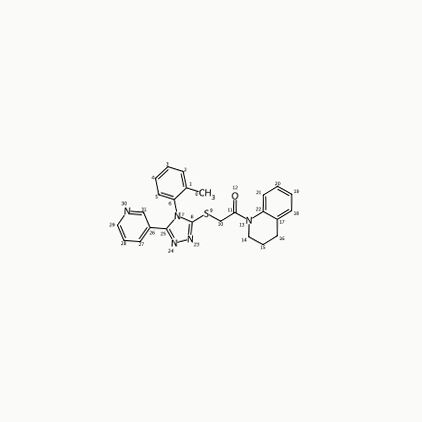 Cc1ccccc1-n1c(SCC(=O)N2CCCc3ccccc32)nnc1-c1cccnc1